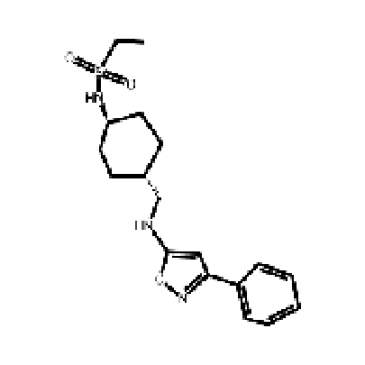 CCS(=O)(=O)N[C@H]1CC[C@H](CNc2cc(-c3ccccc3)no2)CC1